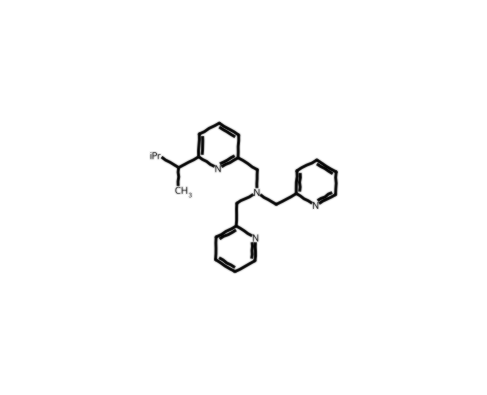 CC(C)C(C)c1cccc(CN(Cc2ccccn2)Cc2ccccn2)n1